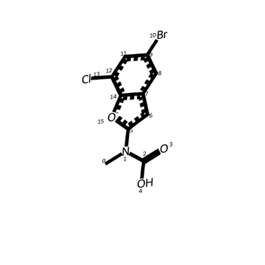 CN(C(=O)O)c1cc2cc(Br)cc(Cl)c2o1